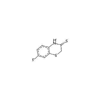 Fc1ccc2c(c1)SCC(=S)N2